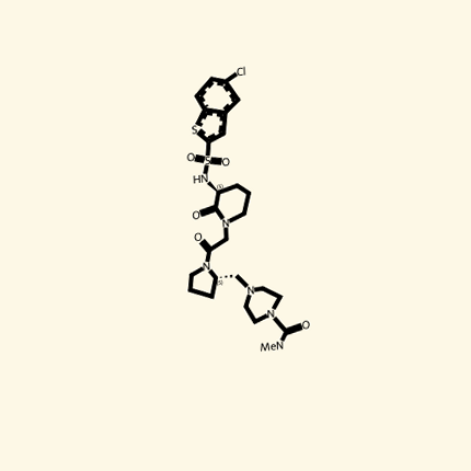 CNC(=O)N1CCN(C[C@@H]2CCCN2C(=O)CN2CCC[C@H](NS(=O)(=O)c3cc4cc(Cl)ccc4s3)C2=O)CC1